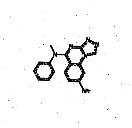 CCCc1ccc2c(N(C)c3ccccc3)nc3nncn3c2c1